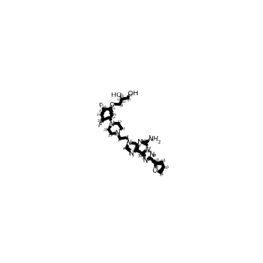 Nc1nc2c(ncn2CCN2CCN(c3cc(OC[C@@H](O)CO)c(F)cc3F)CC2)c2nc(-c3ccco3)nn12